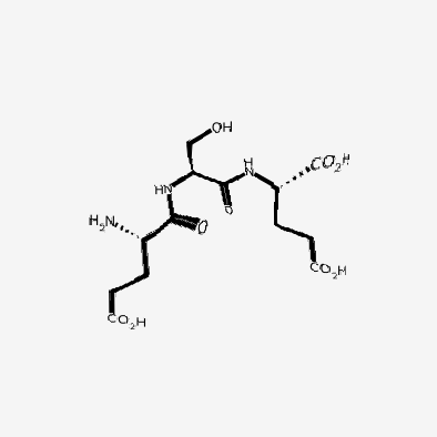 N[C@@H](CCC(=O)O)C(=O)N[C@@H](CO)C(=O)N[C@@H](CCC(=O)O)C(=O)O